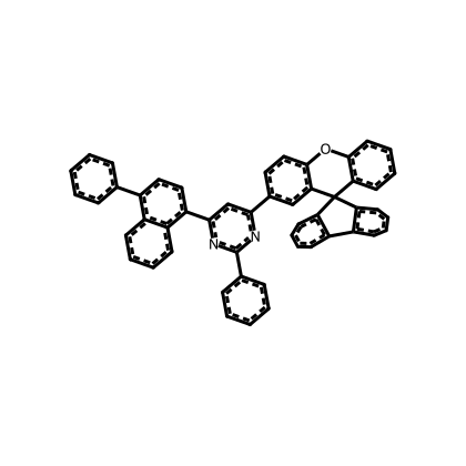 c1ccc(-c2nc(-c3ccc4c(c3)C3(c5ccccc5O4)c4ccccc4-c4ccccc43)cc(-c3ccc(-c4ccccc4)c4ccccc34)n2)cc1